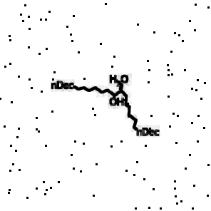 CC=C(CCCCCCCCCCCCCCCC)C(O)CCCCCCCCCCCCCCCC.O